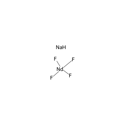 [F][Nd]([F])([F])[F].[NaH]